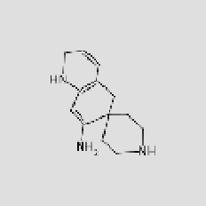 NC1=CC2=C(C=CCN2)CC12CCNCC2